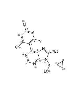 CCc1nc2c(-c3c(C)cc(Cl)cc3Cl)ncnc2n1C(CC)C1CC1